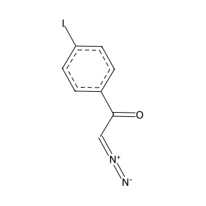 [N-]=[N+]=CC(=O)c1ccc(I)cc1